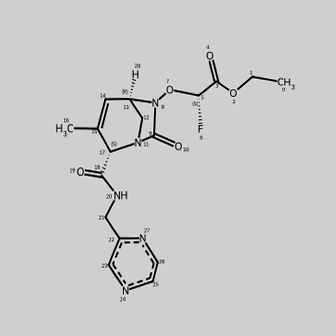 CCOC(=O)[C@H](F)ON1C(=O)N2C[C@H]1C=C(C)[C@H]2C(=O)NCc1cnccn1